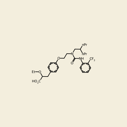 CCCC(CCC)CN(CCOc1ccc(CC(OCC)C(=O)O)cc1)C(=O)Nc1ccccc1C(F)(F)F